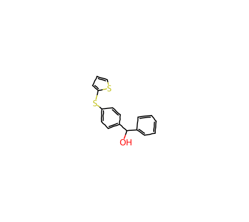 OC(c1ccccc1)c1ccc(Sc2cccs2)cc1